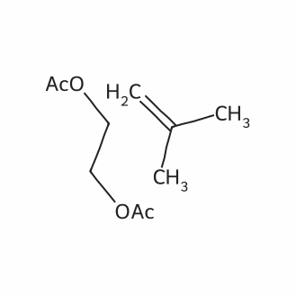 C=C(C)C.CC(=O)OCCOC(C)=O